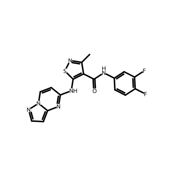 Cc1nsc(Nc2ccn3nccc3n2)c1C(=O)Nc1ccc(F)c(F)c1